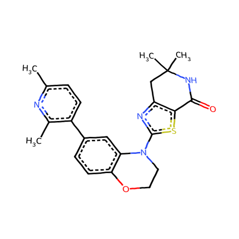 Cc1ccc(-c2ccc3c(c2)N(c2nc4c(s2)C(=O)NC(C)(C)C4)CCO3)c(C)n1